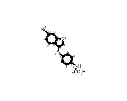 O=C(O)Nc1ccc(Oc2csc3cc(Br)ccc23)cc1